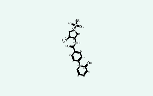 CCS(=O)(=O)N1CC(N)C(NC(=O)c2ccc(-n3ccccc3=O)cc2)C1